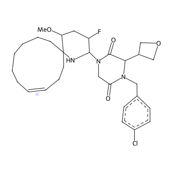 COC1CC(F)C(N2CC(=O)N(Cc3ccc(Cl)cc3)C(C3COC3)C2=O)NC12CC/C=C\CCCCCC2